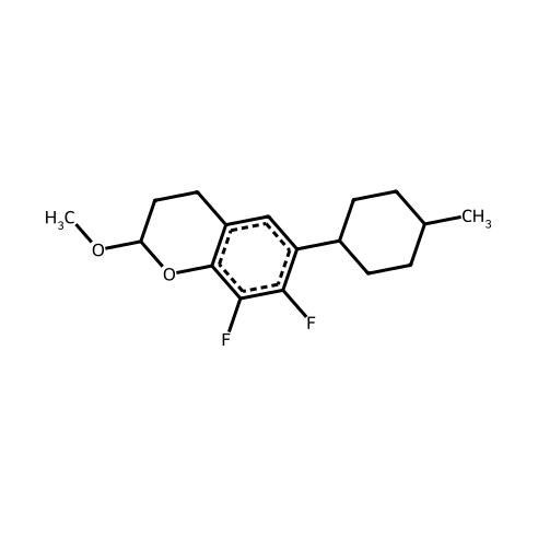 COC1CCc2cc(C3CCC(C)CC3)c(F)c(F)c2O1